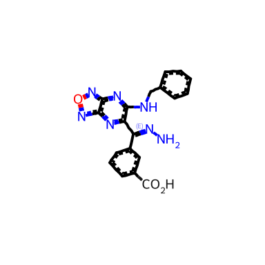 N/N=C(\c1cccc(C(=O)O)c1)c1nc2nonc2nc1NCc1ccccc1